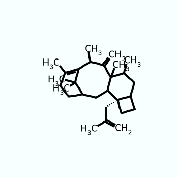 C=C(C)C[C@@]12CCC1CC(C)C1(C)C(=C)C(C)C3=C(C)CCC(CC12)C3(C)C